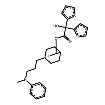 CN(CCC[N+]12CCC(CC1)C(OC(=O)C(O)(c1cccs1)c1cccs1)C2)c1ccccc1